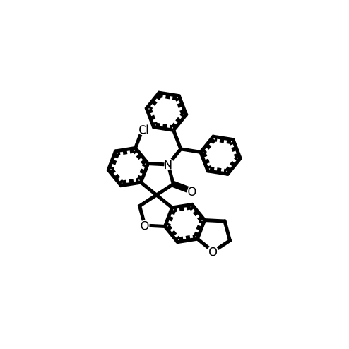 O=C1N(C(c2ccccc2)c2ccccc2)c2c(Cl)cccc2C12COc1cc3c(cc12)CCO3